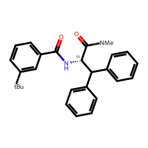 CNC(=O)[C@@H](NC(=O)c1cccc(C(C)(C)C)c1)C(c1ccccc1)c1ccccc1